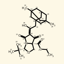 CCOC(=O)[C@]12CO[C@H](C(C)(C)C)N1C(=O)/C(=C(\O)CC13CC4CC(C)(CC(C)(C4)C1)C3)C2=O